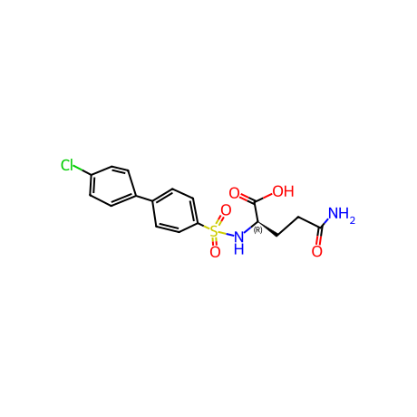 NC(=O)CC[C@@H](NS(=O)(=O)c1ccc(-c2ccc(Cl)cc2)cc1)C(=O)O